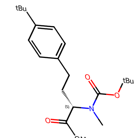 COC(=O)[C@H](CCc1ccc(C(C)(C)C)cc1)N(C)C(=O)OC(C)(C)C